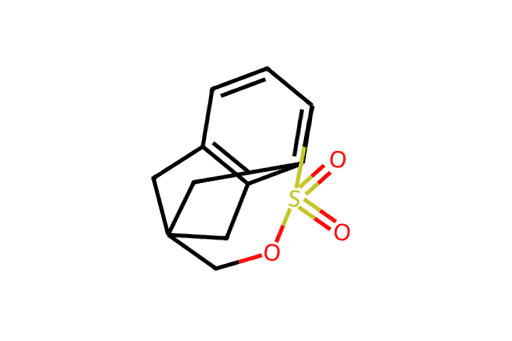 O=S1(=O)OCC23Cc4ccc1c(c4C2)C3